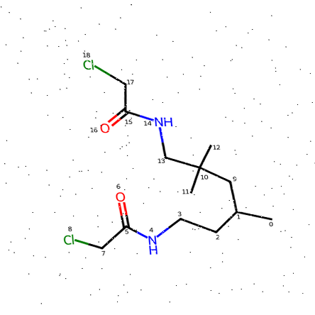 CC(CCNC(=O)CCl)CC(C)(C)CNC(=O)CCl